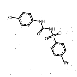 CC(C)c1ccc(S(=O)(=O)NC(=O)Nc2ccc(Cl)cc2)cc1